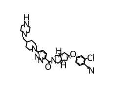 N#Cc1ccc(O[C@@H]2C[C@@H]3CN(C(=O)c4ccc(N5CCC(CN6CCNCC6)CC5)nn4)C[C@@H]3C2)cc1Cl